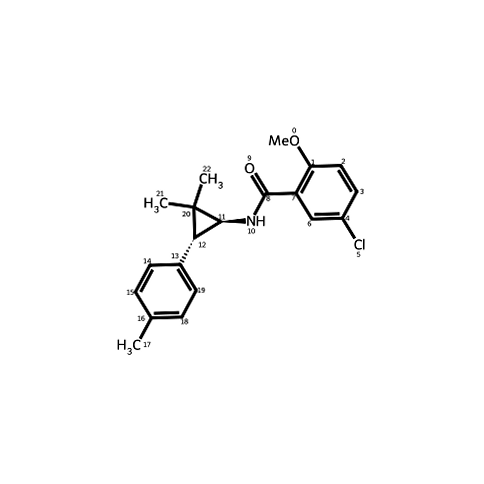 COc1ccc(Cl)cc1C(=O)N[C@H]1[C@H](c2ccc(C)cc2)C1(C)C